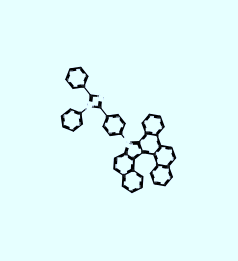 c1ccc(C2=[N+](c3ccccc3)C(c3ccc(-n4c5ccc6ccccc6c5c5c6c7ccccc7ccc6c6ccccc6c54)cc3)=N2)cc1